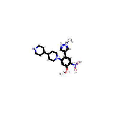 COc1cc(N2CCC(C3CCNCC3)CC2)c(-c2cnn(C)c2)cc1[N+](=O)[O-]